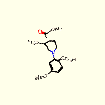 COC(=O)[C@@H]1CCN(c2cc(OC)ccc2C(=O)O)C[C@H]1C